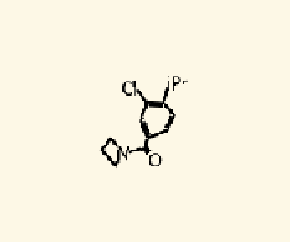 CC(C)c1ccc(C(=O)N2CCC2)cc1Cl